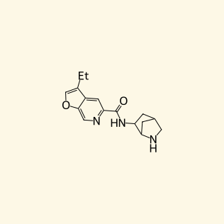 CCc1coc2cnc(C(=O)NC3CC4CNC3C4)cc12